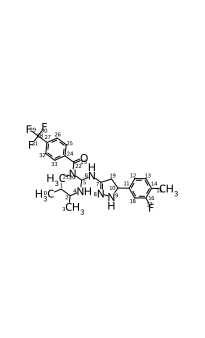 CCC(C)NC(NC1=NNC(c2ccc(C)c(F)c2)C1)N(C)C(=O)c1ccc(C(F)(F)F)cc1